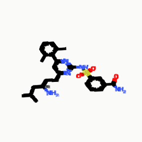 Cc1cccc(C)c1-c1cc(CC[C@@H](N)CC(C)C)nc(NS(=O)(=O)c2cccc(C(N)=O)c2)n1